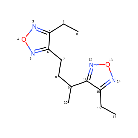 CCc1nonc1CCC(C)c1nonc1CC